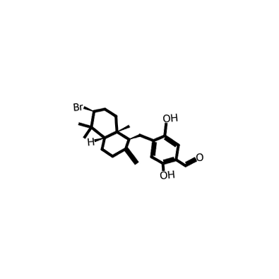 C=C1CC[C@@H]2C(C)(C)[C@@H](Br)CC[C@]2(C)[C@H]1Cc1cc(O)c(C=O)cc1O